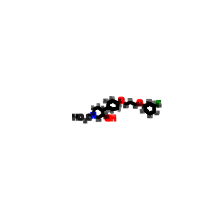 O=C(O)N1CCC(c2ccc(OCCCOc3cccc(F)c3)cc2)C(O)C1